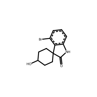 O=C1Nc2cccc(Br)c2C12CCC(O)CC2